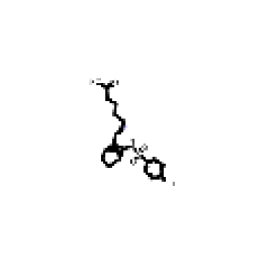 Cc1ccc(S(=O)(=O)NC2C3CCC(C3)C2C/C=C\CCCC(=O)O)cc1